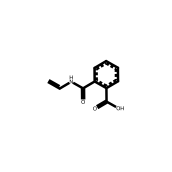 C=CNC(=O)c1ccccc1C(=O)O